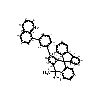 CC1(C)c2ccccc2C2(c3ccccc3-c3ccccc32)c2cc(-c3cccc(-c4cccc5cccnc45)c3)ccc21